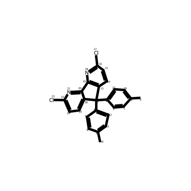 Cc1ccc(C2(c3ccc(C)cc3)c3ccc(Cl)nc3-c3nc(Cl)ccc32)cc1